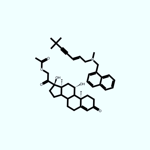 CC(=O)OCC(=O)[C@@]1(O)CCC2C3CCC4=CC(=O)CC[C@]4(C)C3[C@@H](O)C[C@@]21C.CN(C/C=C/C#CC(C)(C)C)Cc1cccc2ccccc12